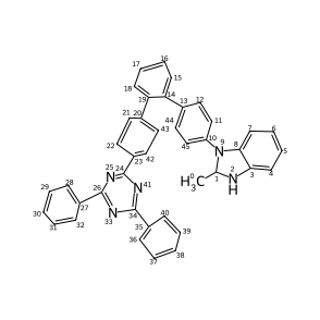 CC1Nc2ccccc2N1c1ccc(-c2ccccc2-c2ccc(-c3nc(-c4ccccc4)nc(-c4ccccc4)n3)cc2)cc1